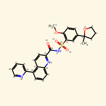 COc1ccc(C2(C)CCCO2)cc1S(=O)(=O)NC(=O)c1ccc2c(-c3ccccn3)cccc2n1